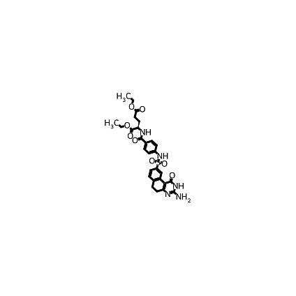 CCOC(=O)CC[C@@H](NC(=O)c1ccc(NS(=O)(=O)c2ccc3c(c2)-c2c(nc(N)[nH]c2=O)CC3)cc1)C(=O)OCC